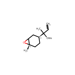 C=CC(C)(OC)[C@H]1CC[C@]2(C)OC2C1